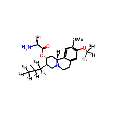 [2H]C([2H])([2H])Oc1cc2c(cc1OC)[C@H]1C[C@@H](OC(=O)[C@@H](N)C(C)C)[C@H](C([2H])([2H])C([2H])(C)C([2H])([2H])[2H])CN1CC2